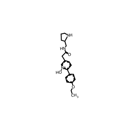 CCOc1ccc(-c2ccc(CC(=O)NCC3CCCN3)c[n+]2O)cc1